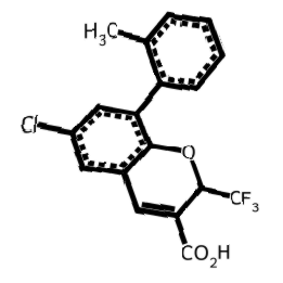 Cc1ccccc1-c1cc(Cl)cc2c1OC(C(F)(F)F)C(C(=O)O)=C2